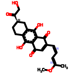 CO/C(C)=C/C=C\C1=CC(=O)c2c(O)c3c(c(O)c2C1=O)C[C@@H](C(=O)CO)CC3